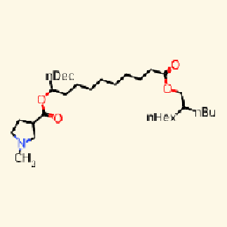 CCCCCCCCCCC(CCCCCCCCC(=O)OCC(CCCC)CCCCCC)OC(=O)C1CCN(C)C1